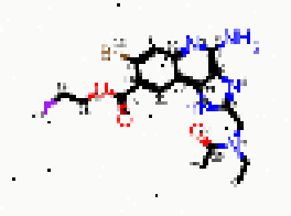 CCN(Cc1nc2c(N)nc3cc(Br)c(C(=O)OCCI)cc3c2[nH]1)C(C)=O